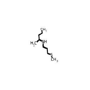 CCCC(C)NCCCSC